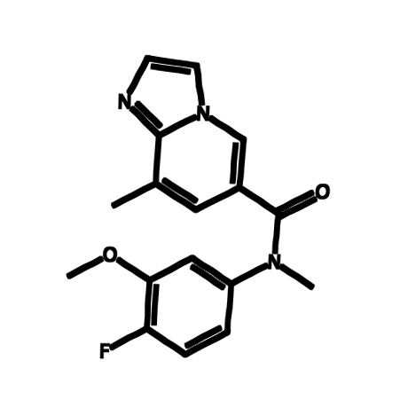 COc1cc(N(C)C(=O)c2cc(C)c3nccn3c2)ccc1F